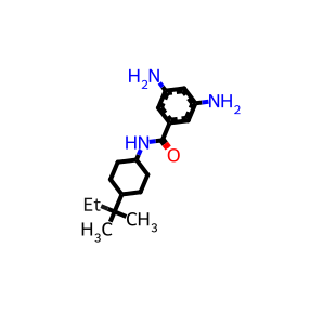 CCC(C)(C)C1CCC(NC(=O)c2cc(N)cc(N)c2)CC1